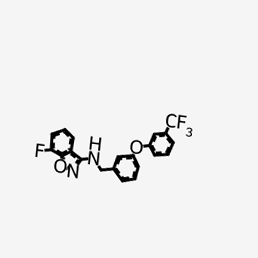 Fc1cccc2c(NCc3cccc(Oc4cccc(C(F)(F)F)c4)c3)noc12